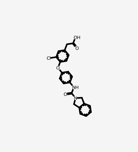 O=C(O)Cc1ccc(Oc2ccc(NC(=O)N3Cc4ccccc4C3)cc2)c(Cl)c1